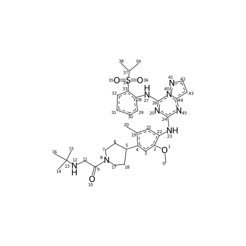 COc1cc(C2CCN(C(=O)CNC(C)(C)C)CC2)c(C)cc1Nc1nc(Nc2ccccc2S(=O)(=O)C(C)C)n2nccc2n1